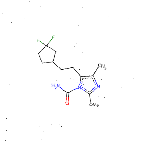 COc1nc(C)c(CCC2CCC(F)(F)C2)n1C(N)=O